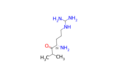 CC(C)C(=O)[C@@H](N)CCCNC(N)N